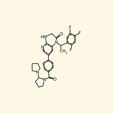 CC(c1cc(F)c(F)cc1F)N1C(=O)CNc2ncc(-c3ccc(C(=O)N4CCCC4N4CCCC4)cc3)cc21